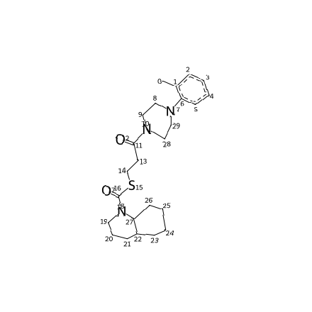 Cc1ccccc1N1CCN(C(=O)CCSC(=O)N2CCCC3CCCCC32)CC1